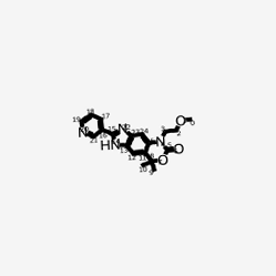 COCCN1C(=O)OC(C)(C)c2cc3[nH]c(-c4cccnc4)nc3cc21